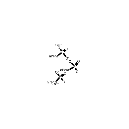 CCCCCP(=O)([O-])[O-].CCCCCP(=O)([O-])[O-].CCCCCP(=O)([O-])[O-].[Co+3].[Co+3]